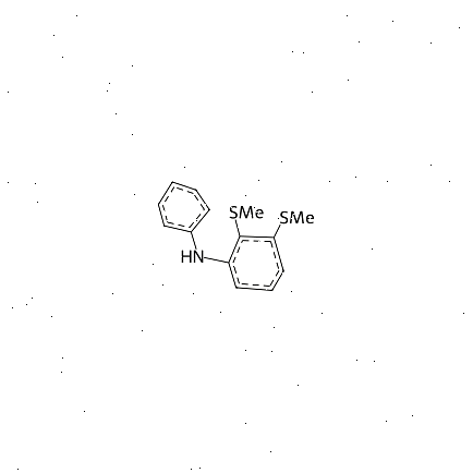 CSc1cccc(Nc2ccccc2)c1SC